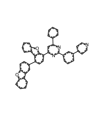 c1ccc(-c2cc(-c3ccc(-c4ccc5oc6ccccc6c5c4)c4c3oc3ccccc34)nc(-c3cccc(-c4ccncc4)c3)n2)cc1